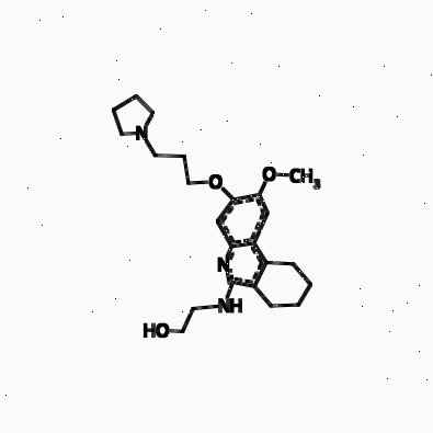 COc1cc2c3c(c(NCCO)nc2cc1OCCCN1CCCC1)CCCC3